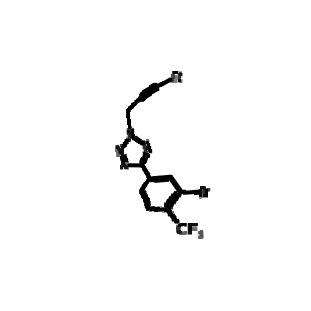 CCC#CCn1nnc(-c2ccc(C(F)(F)F)c(Br)c2)n1